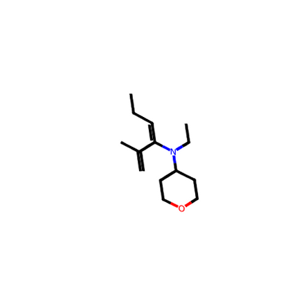 C=C(C)/C(=C\CC)N(CC)C1CCOCC1